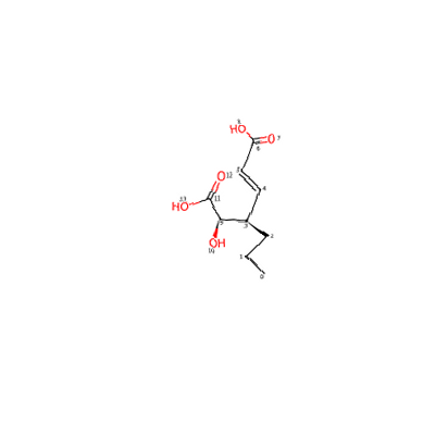 CCC[C@H](C=CC(=O)O)[C@@H](O)C(=O)O